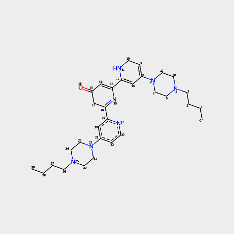 CCCCN1CCN(C2=CCNC(C3=CC(=O)CC(c4cc(N5CCN(CCCC)CC5)ccn4)=N3)=C2)CC1